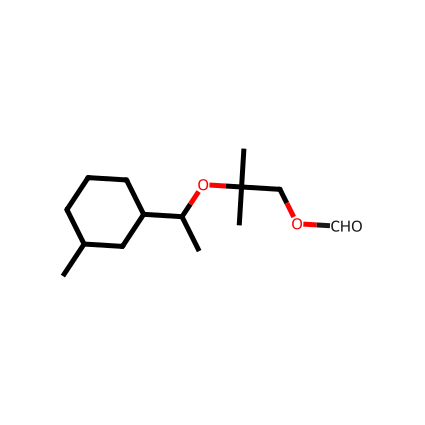 CC1CCCC(C(C)OC(C)(C)COC=O)C1